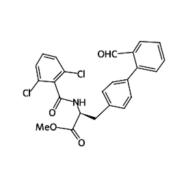 COC(=O)[C@H](Cc1ccc(-c2ccccc2C=O)cc1)NC(=O)c1c(Cl)cccc1Cl